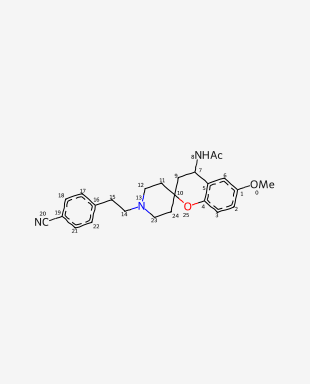 COc1ccc2c(c1)C(NC(C)=O)CC1(CCN(CCc3ccc(C#N)cc3)CC1)O2